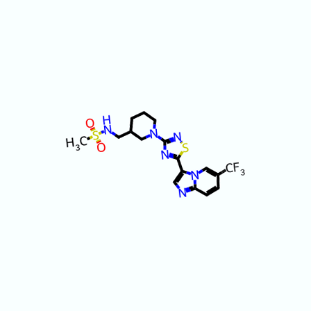 CS(=O)(=O)NCC1CCCN(c2nsc(-c3cnc4ccc(C(F)(F)F)cn34)n2)C1